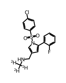 [2H]C([2H])([2H])NCc1cc(-c2ccccc2F)n(S(=O)(=O)c2ccc(Cl)cc2)c1